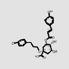 O=C(/C=C/c1ccc(O)cc1)O[C@@H]1C[C@](OCCCc2ccc(Cl)cc2)(C(=O)O)C[C@H](O)[C@H]1O